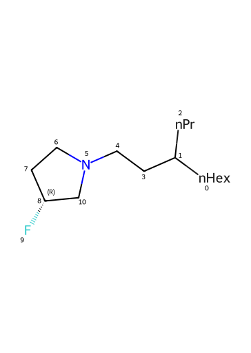 CCCCCCC(CCC)CCN1CC[C@@H](F)C1